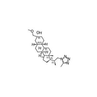 COC[C@@]1(O)CC[C@H]2[C@H](CC[C@@H]3[C@@H]2CC[C@]2(C)[C@@H]([C@H](C)Cn4nnnc4C)CC[C@@H]32)C1